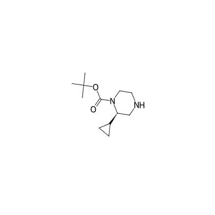 CC(C)(C)OC(=O)N1CCNC[C@H]1C1CC1